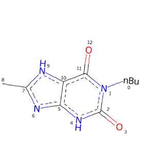 CCCCn1c(=O)[nH]c2nc(C)[nH]c2c1=O